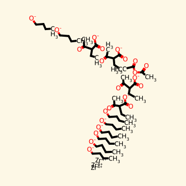 CC(=O)OC(C)=O.CCC(C(C)=O)C(=O)[O-].CCC(C(C)=O)C(=O)[O-].CCC(C(C)=O)C(=O)[O-].CCC(C(C)=O)C(=O)[O-].CCCC[O-].CCCC[O-].CCCC[O-].CCCC[O-].CCCC[O-].CCCC[O-].CCCC[O-].CCCC[O-].[Zr+4].[Zr+4].[Zr+4]